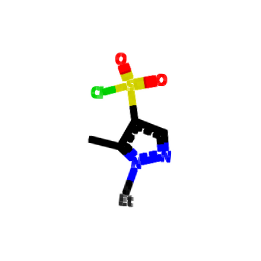 CCn1ncc(S(=O)(=O)Cl)c1C